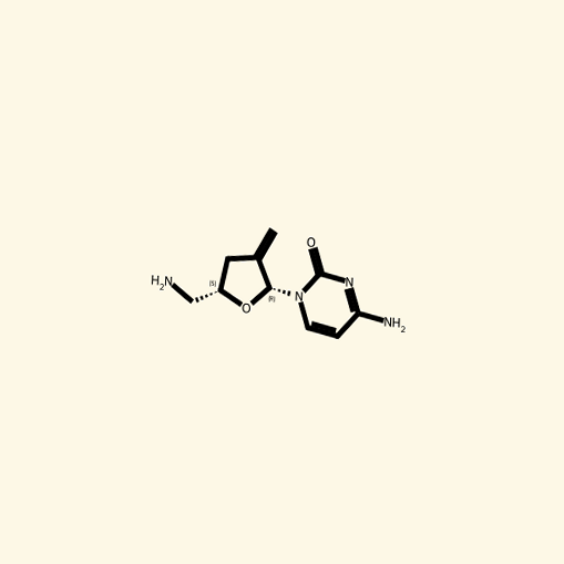 C=C1C[C@@H](CN)O[C@H]1n1ccc(N)nc1=O